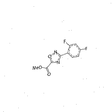 COC(=O)c1nc(-c2ccc(F)cc2F)no1